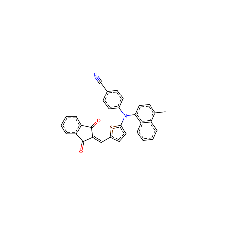 Cc1ccc(N(c2ccc(C#N)cc2)c2ccc(C=C3C(=O)c4ccccc4C3=O)s2)c2ccccc12